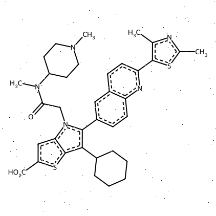 Cc1nc(C)c(-c2ccc3cc(-c4c(C5CCCCC5)c5sc(C(=O)O)cc5n4CC(=O)N(C)C4CCN(C)CC4)ccc3n2)s1